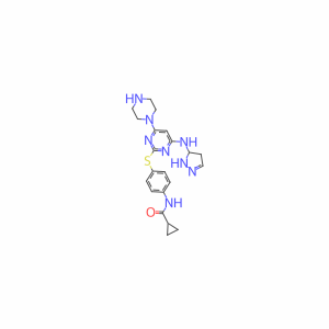 O=C(Nc1ccc(Sc2nc(NC3CC=NN3)cc(N3CCNCC3)n2)cc1)C1CC1